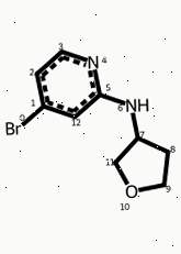 Brc1ccnc(NC2CCOC2)c1